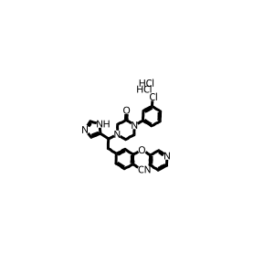 Cl.Cl.N#Cc1ccc(CC(c2cnc[nH]2)N2CCN(c3cccc(Cl)c3)C(=O)C2)cc1Oc1cccnc1